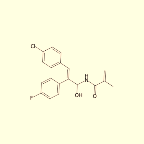 C=C(C)C(=O)NC(O)/C(=C/c1ccc(Cl)cc1)c1ccc(F)cc1